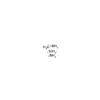 [BiH3].[BiH3].[InH3].[SnH2]